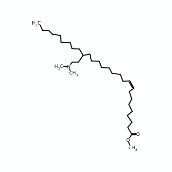 CCCCCCCCCC(CCCCCCCC/C=C\CCCCCCCC(=O)OC)CCN(C)C